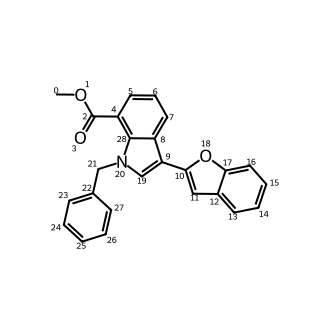 COC(=O)c1cccc2c(-c3cc4ccccc4o3)cn(Cc3ccccc3)c12